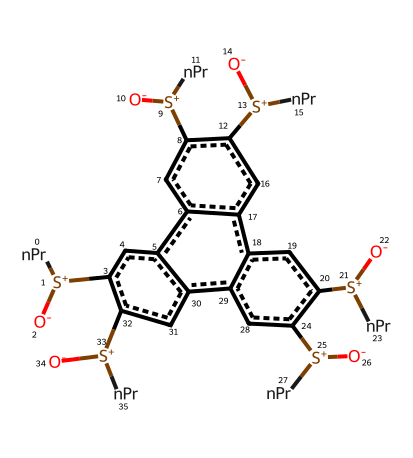 CCC[S+]([O-])c1cc2c3cc([S+]([O-])CCC)c([S+]([O-])CCC)cc3c3cc([S+]([O-])CCC)c([S+]([O-])CCC)cc3c2cc1[S+]([O-])CCC